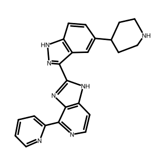 c1ccc(-c2nccc3[nH]c(-c4n[nH]c5ccc(C6CCNCC6)cc45)nc23)nc1